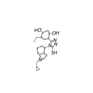 CCc1cc(-c2nnc(S)n2-c2cccc3c2ccn3CC2CC2)c(O)cc1O